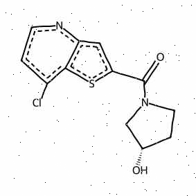 O=C(c1cc2nccc(Cl)c2s1)N1CC[C@H](O)C1